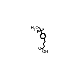 CCC(F)(F)c1ccc(CCCC(=O)O)cc1